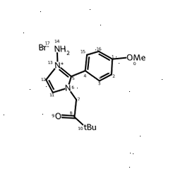 COc1ccc(-c2n(CC(=O)C(C)(C)C)cc[n+]2N)cc1.[Br-]